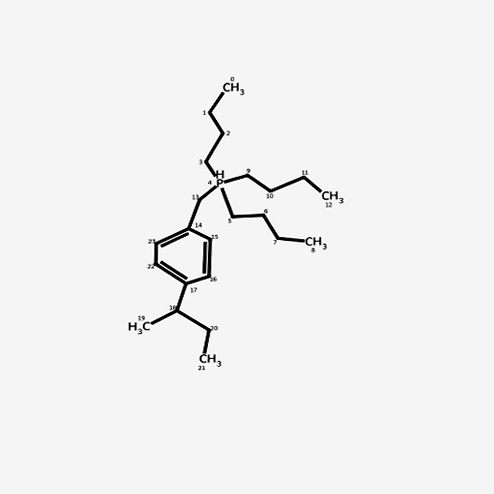 CCCC[PH](CCCC)(CCCC)Cc1ccc(C(C)CC)cc1